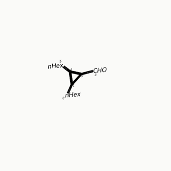 CCCCCCC1C(C=O)C1CCCCCC